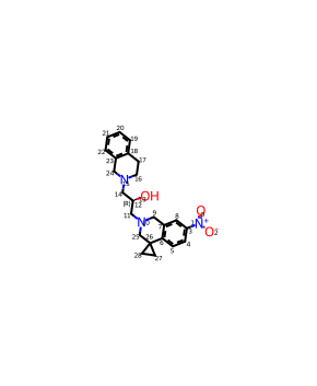 O=[N+]([O-])c1ccc2c(c1)CN(C[C@H](O)CN1CCc3ccccc3C1)CC21CC1